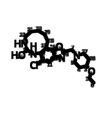 CCOC1CCN(Cc2nc3cc(Cl)c4c(c3o2)CCCCCNC(O)N4)CC1